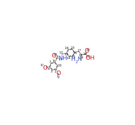 COc1cc(OC)cc(C(=O)NCc2ccc(CC(N)C(=O)O)cc2)c1